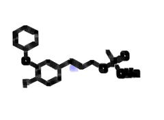 COP(C)(=O)OC/C=C/c1ccc(F)c(Oc2ccccc2)c1